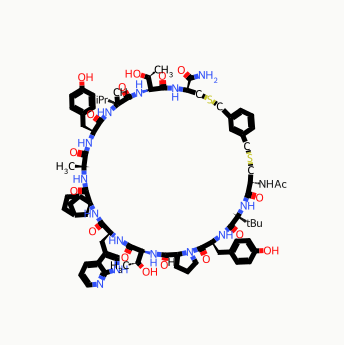 CC(=O)N[C@H]1CSCc2cccc(c2)CSC[C@H](C(N)=O)NC(=O)[C@H]([C@@H](C)O)NC(=O)[C@](C)(C(C)C)NC(=O)[C@H](Cc2ccc(O)cc2)NC(=O)[C@H](C)NC(=O)[C@]2(CC3CCC2C3)NC(=O)[C@H](Cc2c[nH]c3ncccc23)NC(=O)[C@H]([C@@H](C)O)NC(=O)[C@@H]2CCCN2C(=O)[C@H](Cc2ccc(O)cc2)NC(=O)[C@H](C(C)(C)C)NC1=O